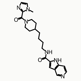 Cn1ccnc1C(=O)N1CCC(CCCCNC(=O)c2cc3cnccc3[nH]2)CC1